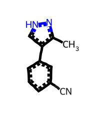 Cc1n[nH]cc1-c1cccc(C#N)c1